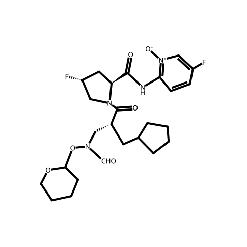 O=CN(C[C@@H](CC1CCCC1)C(=O)N1C[C@H](F)C[C@H]1C(=O)Nc1ccc(F)c[n+]1[O-])OC1CCCCO1